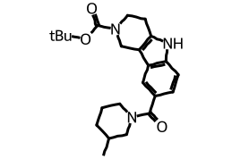 CC1CCCN(C(=O)c2ccc3[nH]c4c(c3c2)CN(C(=O)OC(C)(C)C)CC4)C1